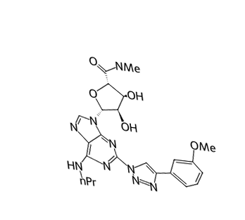 CCCNc1nc(-n2cc(-c3cccc(OC)c3)nn2)nc2c1ncn2[C@@H]1O[C@H](C(=O)NC)[C@@H](O)[C@H]1O